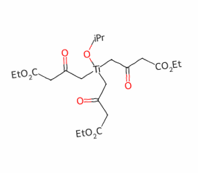 CCOC(=O)CC(=O)[CH2][Ti]([CH2]C(=O)CC(=O)OCC)([CH2]C(=O)CC(=O)OCC)[O]C(C)C